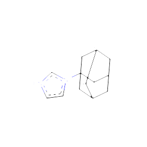 [Br-].c1c[n+](C23CC4CC(CC(C4)C2)C3)c[nH]1